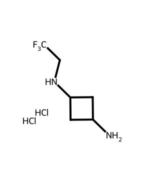 Cl.Cl.NC1CC(NCC(F)(F)F)C1